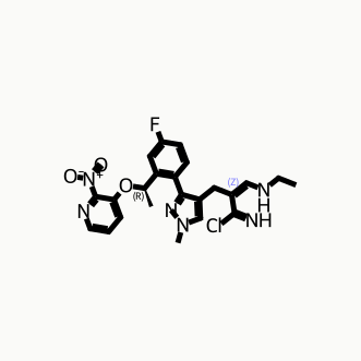 CCN/C=C(/Cc1cn(C)nc1-c1ccc(F)cc1[C@@H](C)Oc1cccnc1[N+](=O)[O-])C(=N)Cl